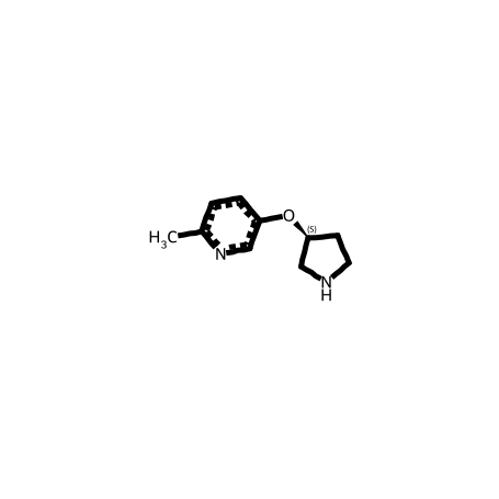 Cc1ccc(O[C@H]2CCNC2)cn1